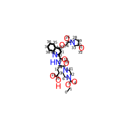 CCOC(=O)N1CCN(C(=O)[C@H](CCC(=O)O)NC(=O)c2cc(OCC(=O)N3CCC(OC)C3)c3ccccc3n2)CC1